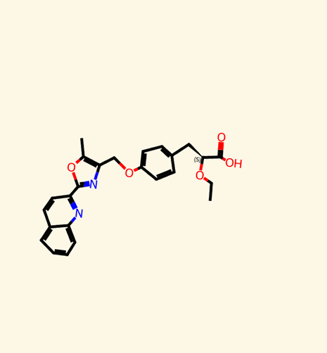 CCO[C@@H](Cc1ccc(OCc2nc(-c3ccc4ccccc4n3)oc2C)cc1)C(=O)O